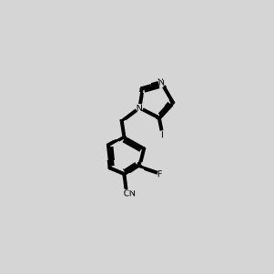 N#Cc1ccc(Cn2cncc2I)cc1F